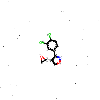 Clc1ccc(-c2nocc2[C@H]2CO2)cc1Cl